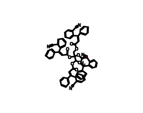 CC(OC(=O)C=C(c1ccccc1)c1ccccc1C#N)C(COC(=O)C=C(c1ccccc1)c1ccccc1C#N)(OC(=O)C=C(c1ccccc1)c1ccccc1C#N)OC(=O)C=C(c1ccccc1)c1ccccc1C#N